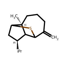 C=C1CCC[C@]2(C)C3C[C@H](C(C)C)C2C1S3